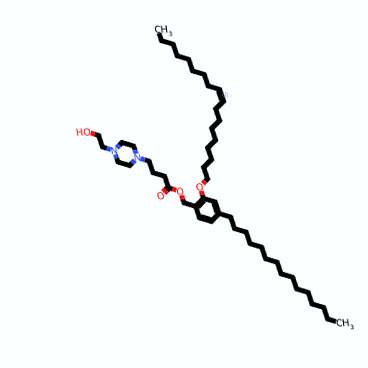 CCCCCCCC/C=C\CCCCCCCCOc1cc(CCCCCCCCCCCCCCC)ccc1COC(=O)CCCN1CCN(CCO)CC1